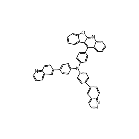 c1cnc2ccc(-c3ccc(N(c4ccc(-c5ccc6ncccc6c5)cc4)c4ccc(-c5c6ccccc6nc6oc7ccccc7c56)cc4)cc3)cc2c1